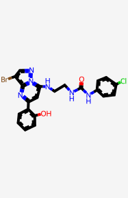 O=C(NCCNc1cc(-c2ccccc2O)nc2c(Br)cnn12)Nc1ccc(Cl)cc1